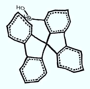 OBc1cccc2c1C1(c3ccccc3-c3ccccc31)c1ccccc1-2